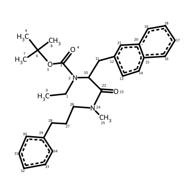 CCN(C(=O)OC(C)(C)C)C(Cc1ccc2ccccc2c1)C(=O)N(C)CCCc1ccccc1